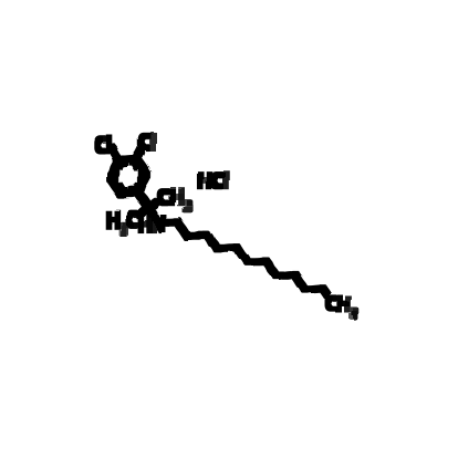 CCCCCCCCCCCCNC(C)(C)c1ccc(Cl)c(Cl)c1.Cl